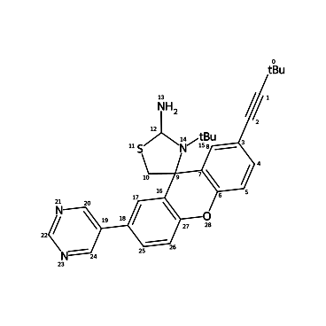 CC(C)(C)C#Cc1ccc2c(c1)C1(CSC(N)N1C(C)(C)C)c1cc(-c3cncnc3)ccc1O2